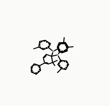 Cc1cccc(N(c2cccc(C)c2)C2(N(c3cccc(C)c3)c3cccc(C)c3)C=CC(c3ccccc3)=CC2(C)C)c1